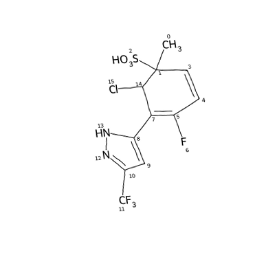 CC1(S(=O)(=O)O)C=CC(F)=C(c2cc(C(F)(F)F)n[nH]2)C1Cl